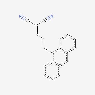 N#CC(C#N)=CC=Cc1c2ccccc2cc2ccccc12